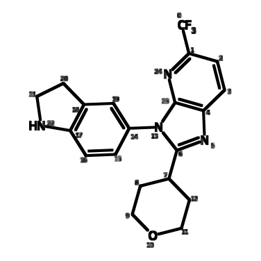 FC(F)(F)c1ccc2nc(C3CCOCC3)n(-c3ccc4c(c3)CCN4)c2n1